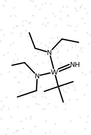 CC[N](CC)[W](=[NH])([N](CC)CC)[C](C)(C)C